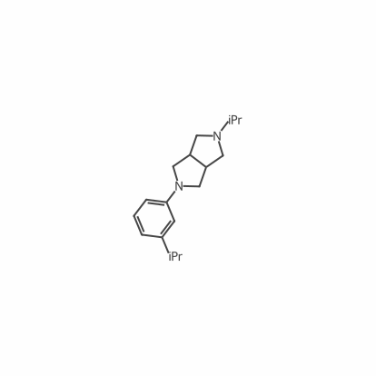 CC(C)c1cccc(N2CC3CN(C(C)C)CC3C2)c1